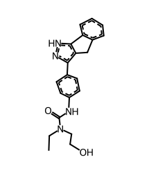 CCN(CCO)C(=O)Nc1ccc(-c2n[nH]c3c2Cc2ccccc2-3)cc1